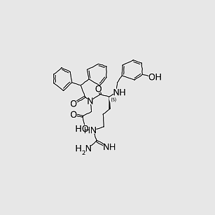 N=C(N)NCCC[C@H](NCc1cccc(O)c1)C(=O)N(CC(=O)O)C(=O)C(c1ccccc1)c1ccccc1